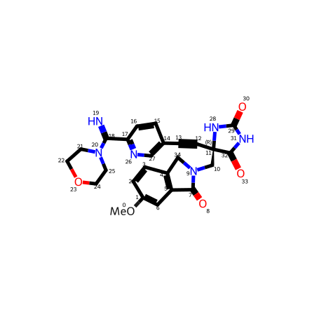 COc1ccc2c(c1)C(=O)N(C[C@@]1(C#Cc3ccc(C(=N)N4CCOCC4)nc3)NC(=O)NC1=O)C2